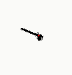 C=CC(=O)OCCCCCCCCCCCCCCCCCC.C=Cc1ccccc1.O=C1C=CC(=O)O1